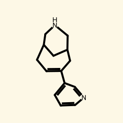 C1=C(c2cccnc2)CC2CNCC(C1)C2